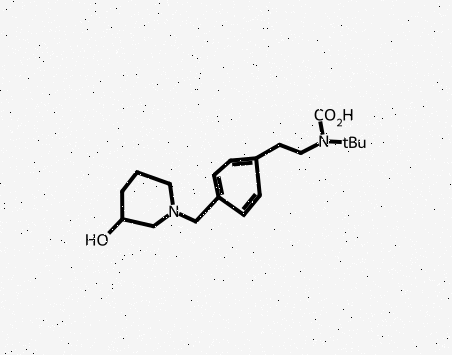 CC(C)(C)N(CCc1ccc(CN2CCCC(O)C2)cc1)C(=O)O